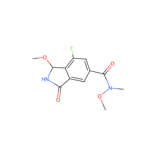 COC1NC(=O)c2cc(C(=O)N(C)OC)cc(F)c21